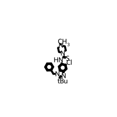 CN1CCN(C(=S)Nc2cc3c(cc2Cl)nc(C(C)(C)C)n3Cc2ccccc2)CC1